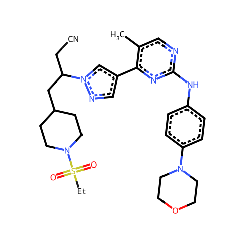 CCS(=O)(=O)N1CCC(CC(CC#N)n2cc(-c3nc(Nc4ccc(N5CCOCC5)cc4)ncc3C)cn2)CC1